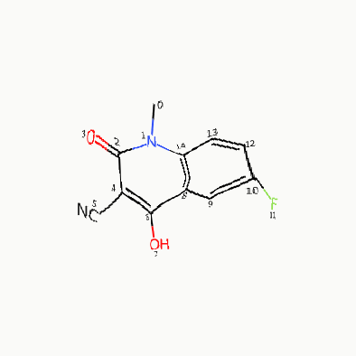 Cn1c(=O)c(C#N)c(O)c2cc(F)ccc21